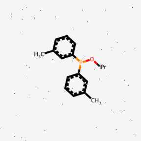 Cc1cccc(P(OC(C)C)c2cccc(C)c2)c1